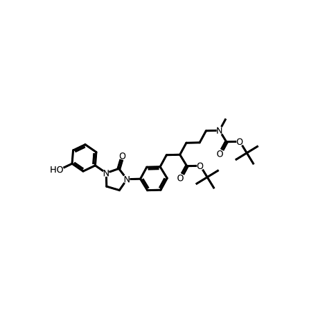 CN(CCCC(Cc1cccc(N2CCN(c3cccc(O)c3)C2=O)c1)C(=O)OC(C)(C)C)C(=O)OC(C)(C)C